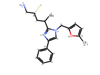 CC(C)(C)[C](C[C@@H](F)CN)c1nc(-c2ccccc2)cn1Cc1ccc(C(F)(F)F)o1